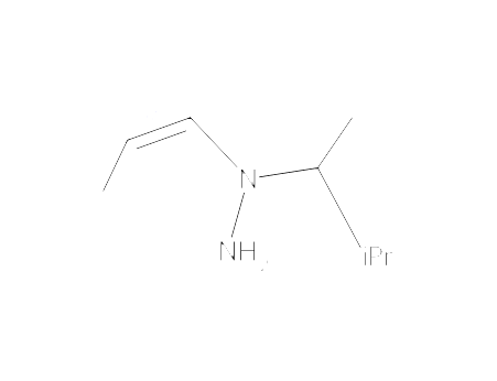 C/C=C\N(N)C(C)C(C)C